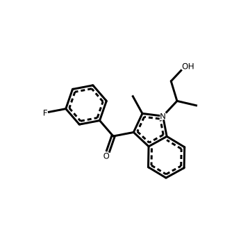 Cc1c(C(=O)c2cccc(F)c2)c2ccccc2n1C(C)CO